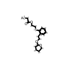 CC(=O)CC(=O)OCCSc1ccccc1CCOC1CCCCO1